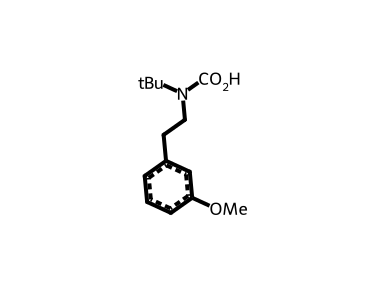 COc1cccc(CCN(C(=O)O)C(C)(C)C)c1